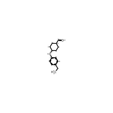 CCc1ccc(OC2CCC(C=O)CC2)cc1